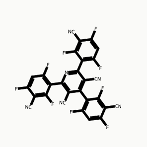 N#Cc1c(F)cc(F)c(-c2nc(-c3c(F)cc(F)c(C#N)c3F)c(C#N)c(-c3c(F)cc(F)c(C#N)c3F)c2C#N)c1F